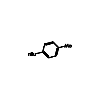 CCCCc1cc[c]([Mo])cc1